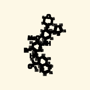 COc1cc(N2CCOCC2)c(-c2cccs2)cc1Nc1ncc(Br)c(Nc2ccc3nccnc3c2P(C)(C)=O)n1